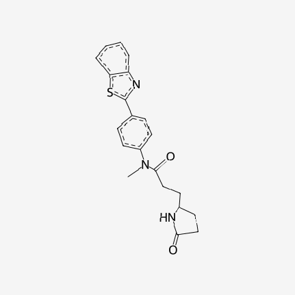 CN(C(=O)CCC1CCC(=O)N1)c1ccc(-c2nc3ccccc3s2)cc1